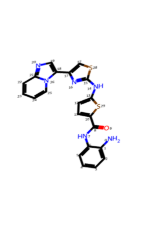 Nc1ccccc1NC(=O)c1ccc(Nc2nc(-c3cnc4ccccn34)cs2)s1